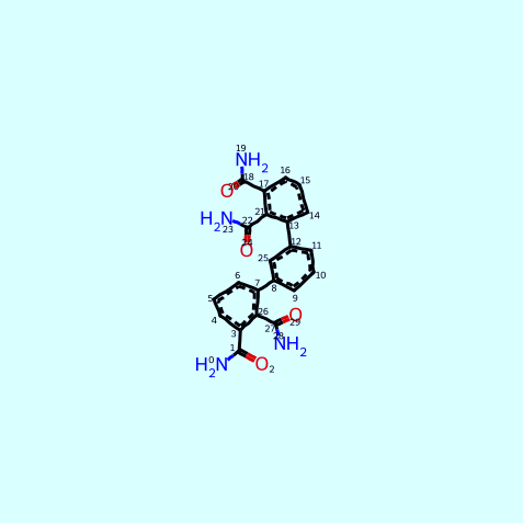 NC(=O)c1cccc(-c2cccc(-c3cccc(C(N)=O)c3C(N)=O)c2)c1C(N)=O